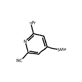 CCCc1cc(SC)cc(C#N)n1